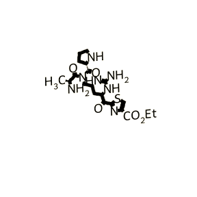 CCOC(=O)c1csc(C(=O)C(CCCN(C(=O)[C@H](C)N)C(=O)[C@@H]2CCCN2)NC(=N)N)n1